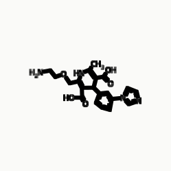 CC1=C(C(=O)O)C(c2cccc(-n3ccnc3)c2)C(C(=O)O)=C(COCCN)N1